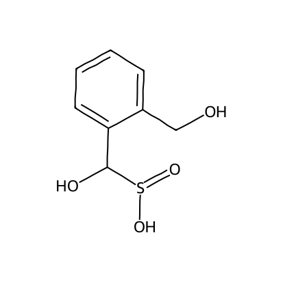 O=S(O)C(O)c1ccccc1CO